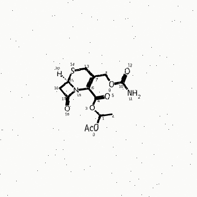 CC(=O)OC(C)OC(=O)C1=C(COC(N)=O)CS[C@@H]2CC(=O)N12